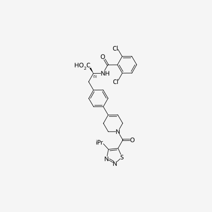 CC(C)c1nnsc1C(=O)N1CC=C(c2ccc(C[C@H](NC(=O)c3c(Cl)cccc3Cl)C(=O)O)cc2)CC1